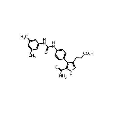 Cc1cc(C)cc(NC(=O)Nc2ccc(-c3c(CCC(=O)O)c[nH]c3C(N)=O)cc2)c1